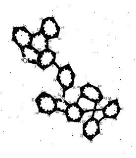 c1cc(-c2cc3oc4cccc5c6ccccc6c(c2)c3c45)cc(-n2c3ccccc3c3ccc4c(c32)-c2ccccc2C42c3ccccc3-c3ccccc32)c1